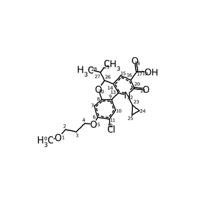 COCCCOc1cc2c(cc1Cl)-c1c(cc(C(=O)O)c(=O)n1C1CC1)C(C(C)C)O2